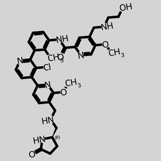 COc1cnc(C(=O)Nc2cccc(-c3nccc(-c4ccc(CNC[C@H]5CCC(=O)N5)c(OC)n4)c3Cl)c2C)cc1CNCCO